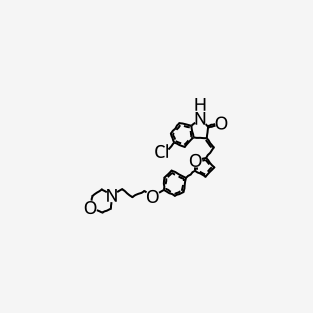 O=C1Nc2ccc(Cl)cc2/C1=C\c1ccc(-c2ccc(OCCCN3CCOCC3)cc2)o1